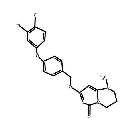 CN1CCCn2c1cc(OCc1ccc(Oc3ccc(F)c(Cl)c3)cc1)nc2=O